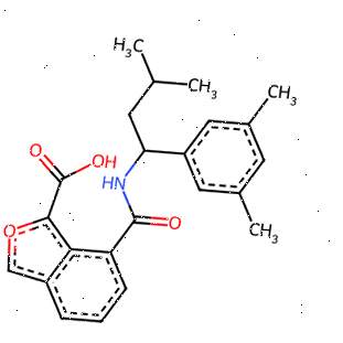 Cc1cc(C)cc(C(CC(C)C)NC(=O)c2cccc3coc(C(=O)O)c23)c1